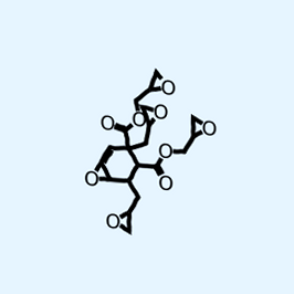 O=C(OCC1CO1)C1C(CC2CO2)C2OC2=CC1(CC1CO1)C(=O)OCC1CO1